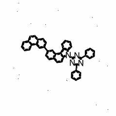 c1ccc(-c2nc(-c3ccccc3)nc(-n3c4ccccc4c4c5cc(-c6ccc7ccc8ccccc8c7c6)ccc5ccc43)n2)cc1